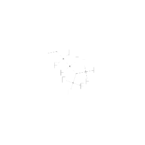 CCC(F)(F)C(F)(F)C(C(F)(F)F)C(F)(F)F